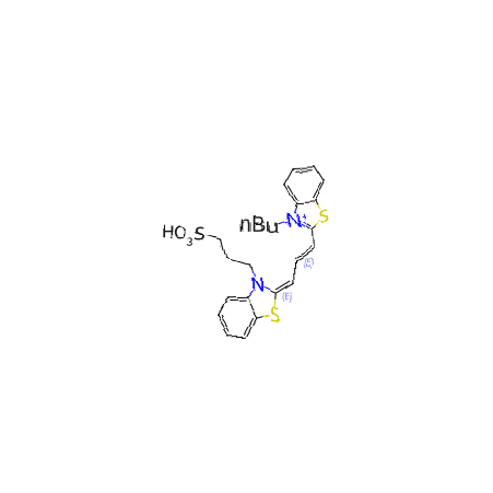 CCCC[n+]1c(/C=C/C=C2/Sc3ccccc3N2CCCS(=O)(=O)O)sc2ccccc21